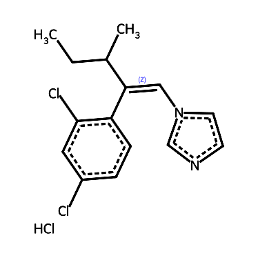 CCC(C)/C(=C/n1ccnc1)c1ccc(Cl)cc1Cl.Cl